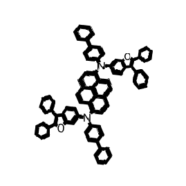 c1ccc(-c2ccc(N(c3ccc4c(-c5ccccc5)c(-c5ccccc5)oc4c3)c3ccc4ccc5c(N(c6ccc(-c7ccccc7)cc6)c6ccc7c(-c8ccccc8)c(-c8ccccc8)oc7c6)ccc6ccc3c4c65)cc2)cc1